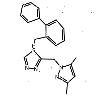 Cc1cc(C)n(CC2=NN=C[SH]2Cc2ccccc2-c2ccccc2)n1